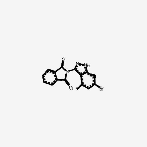 O=C1c2ccccc2C(=O)N1c1n[nH]c2cc(Br)cc(I)c12